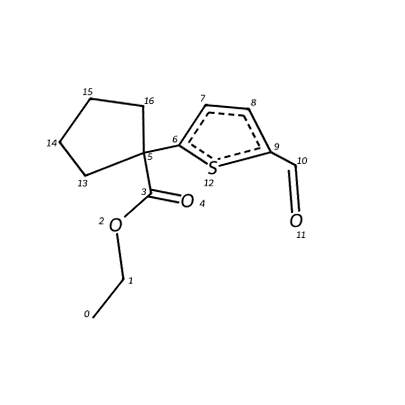 CCOC(=O)C1(c2ccc(C=O)s2)CCCC1